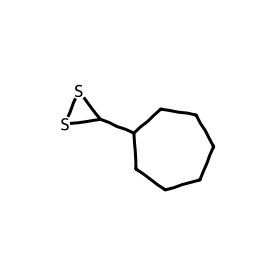 C1CCCC(C2SS2)CC1